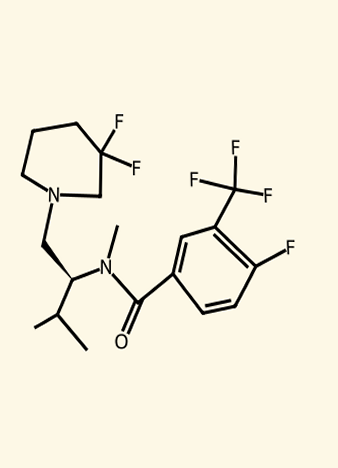 CC(C)[C@@H](CN1CCCC(F)(F)C1)N(C)C(=O)c1ccc(F)c(C(F)(F)F)c1